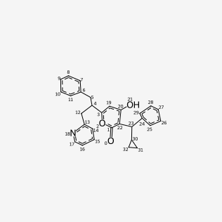 O=c1oc(C(Cc2ccccc2)Cc2ccccn2)cc(O)c1C(c1ccccc1)C1CC1